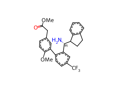 COC(=O)Cc1ccc(OC)c(-c2ccc(C(F)(F)F)cc2[C@H](N)C2CCc3ccccc32)c1